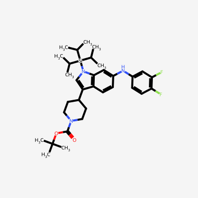 CC(C)[Si](C(C)C)(C(C)C)n1cc(C2CCN(C(=O)OC(C)(C)C)CC2)c2ccc(Nc3ccc(F)c(F)c3)cc21